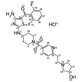 Cl.Nc1nc(NC2CCN(S(=O)(=O)c3ccc(CCN4CCC(O)C4)nc3)CC2)sc1C(=O)c1c(F)cccc1F